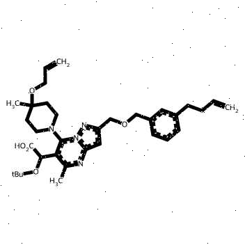 C=CCCc1cccc(COCc2cc3nc(C)c(C(OC(C)(C)C)C(=O)O)c(N4CCC(C)(OCC=C)CC4)n3n2)c1